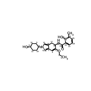 CCOC1=Cc2nn(C3CCC(O)CC3)cc2CC1NC(=O)c1cccc(C)[n+]1O